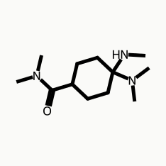 CNC1(N(C)C)CCC(C(=O)N(C)C)CC1